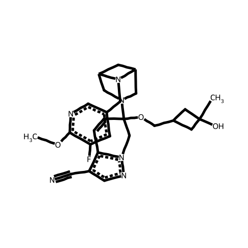 COc1ncc(CN2C3CC2CN(C2(OCC4CC(C)(O)C4)C=Cc4c(C#N)cnn4C2)C3)cc1F